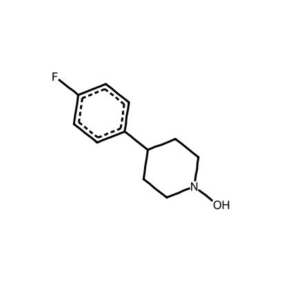 ON1CCC(c2ccc(F)cc2)CC1